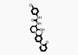 O=C(Nc1ccc(Cl)cc1)NC1CCCN(c2ccc(-n3ccccc3=O)cc2F)C1O